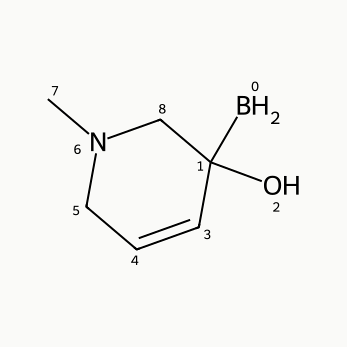 BC1(O)C=CCN(C)C1